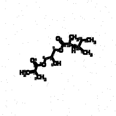 C=C(C)C(=O)OCC(O)COC(=O)C(C)NC(C)CC